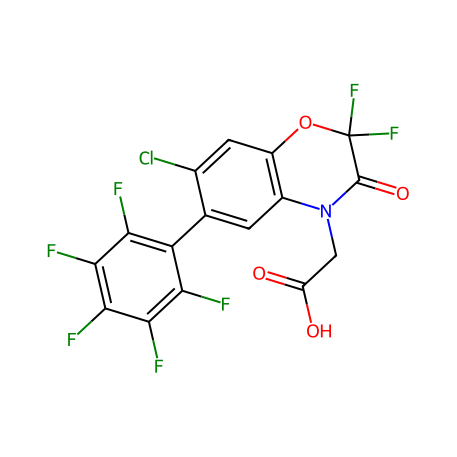 O=C(O)CN1C(=O)C(F)(F)Oc2cc(Cl)c(-c3c(F)c(F)c(F)c(F)c3F)cc21